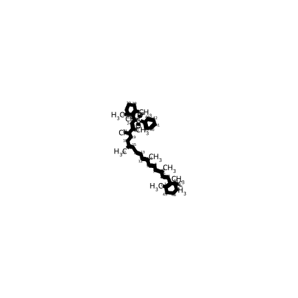 CC1=C(/C=C/C(C)=C/C=C/C(C)=C/C=C/C=C(\C)CCC(Cl)/C(C)=C/C(C2=C(C)CCCC2(C)C)S(=O)(=O)c2ccccc2)C(C)(C)CCC1